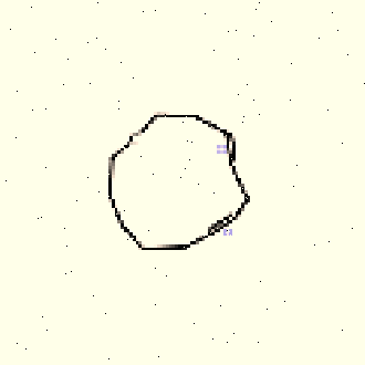 [CH]1/C=C/CCCCCCCC/C=C/1